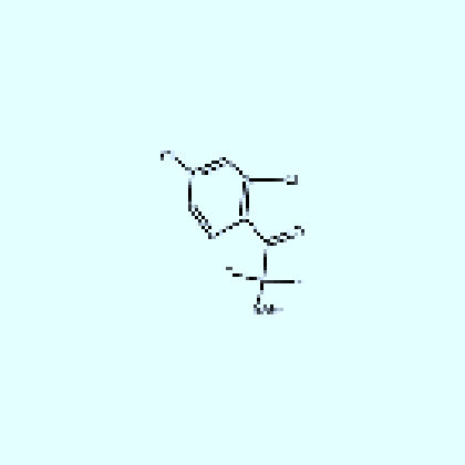 CSC(F)(F)C(=O)c1ccc(Cl)cc1Cl